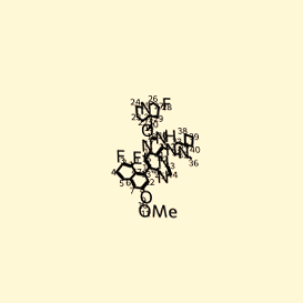 CCc1c(F)ccc2cc(OCOC)cc(-c3cc4nc(OC[C@@]56CCCN5C[C@H](F)C6)nc(NCC5(N(C)C)CCC5)c4n4ccnc34)c12